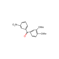 COc1ccc(C(=O)c2cccc([N+](=O)[O-])c2)cc1OC